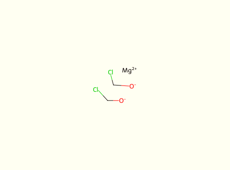 [Mg+2].[O-]CCl.[O-]CCl